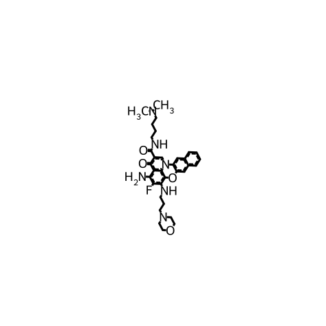 CN(C)CCCCNC(=O)c1cn2c3c(c(NCCCN4CCOCC4)c(F)c(N)c3c1=O)Oc1cc3ccccc3cc1-2